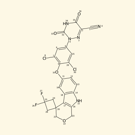 N#Cc1nn(-c2cc(Cl)c(Oc3ccc4[nH]c5c(c4c3)C3(COC5)CC(F)(F)C3)c(Cl)c2)c(=O)[nH]c1=O